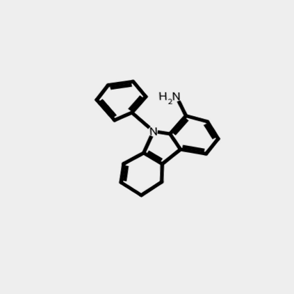 Nc1cccc2c3c(n(-c4ccccc4)c12)C=CCC3